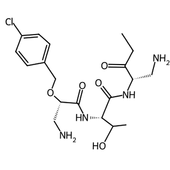 CCC(=O)[C@H](CN)NC(=O)[C@@H](NC(=O)[C@H](CN)OCc1ccc(Cl)cc1)C(C)O